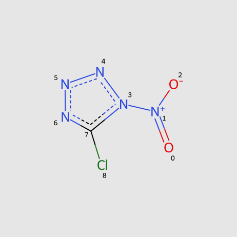 O=[N+]([O-])n1nnnc1Cl